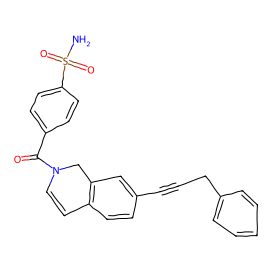 NS(=O)(=O)c1ccc(C(=O)N2C=Cc3ccc(C#CCc4ccccc4)cc3C2)cc1